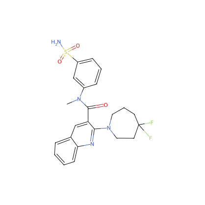 CN(C(=O)c1cc2ccccc2nc1N1CCCC(F)(F)CC1)c1cccc(S(N)(=O)=O)c1